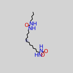 CCCCCNC(=O)NCCCC/C=C\CCCCCCC1NOC(=O)N1